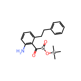 C[Si](C)(C)O[Si](=O)C(=O)c1c(N)cccc1CCc1ccccc1